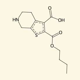 CCCCOC(=O)c1sc2c(c1C(=O)O)CCNC2